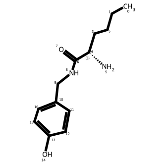 CCCC[C@H](N)C(=O)NCc1ccc(O)cc1